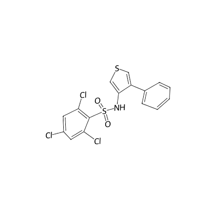 O=S(=O)(Nc1cscc1-c1ccccc1)c1c(Cl)cc(Cl)cc1Cl